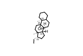 CC[C@H]1CC[C@H]2[C@@H]3CCC4CCCC[C@]4(C)[C@@]3(O)CC[C@]12C